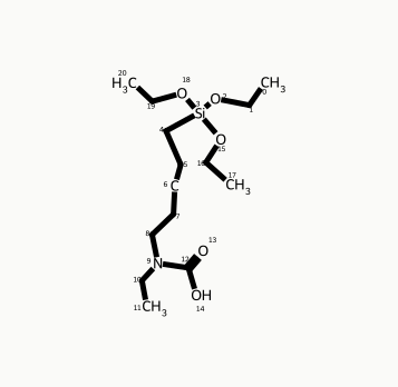 CCO[Si](CCCCCN(CC)C(=O)O)(OCC)OCC